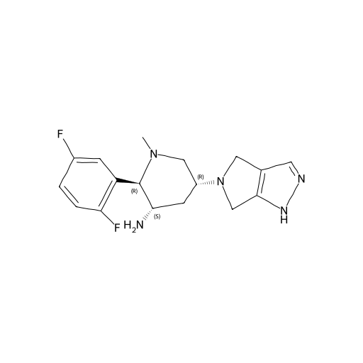 CN1C[C@H](N2Cc3cn[nH]c3C2)C[C@H](N)[C@H]1c1cc(F)ccc1F